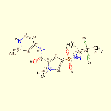 C[C@@H](NS(=O)(=O)c1cc(C(=O)Nc2ccnc(C#N)c2)n(C)c1)C(C)(F)F